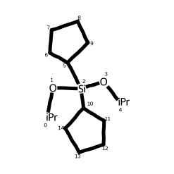 CC(C)O[Si](OC(C)C)(C1CCCC1)C1CCCC1